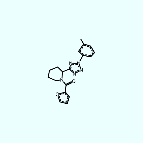 Cc1cccc(-n2nnc(C3CCCCN3C(=O)c3ccco3)n2)c1